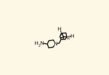 CC1(C)[C@@H]2CC(CN3CCC(N)CC3)C[C@H]1C2